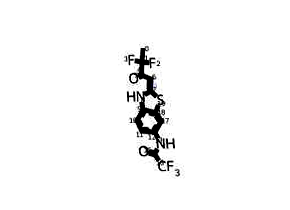 CC(F)(F)C(=O)/C=C1\Nc2ccc(NC(=O)C(F)(F)F)cc2S1